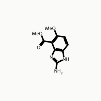 COC(=O)c1c(OC)ccc2[nH]c(N)nc12